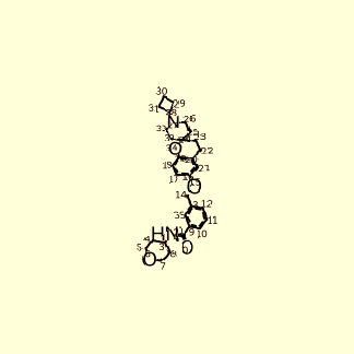 O=C(NC1CCOCC1)c1cccc(COc2ccc3c(c2)CCC2(CCN(C4CCC4)CC2)O3)c1